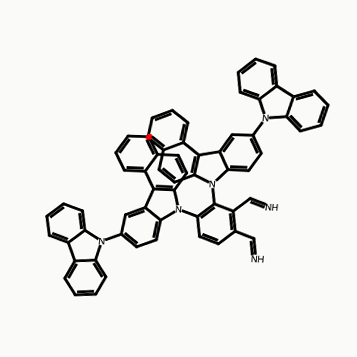 N=Cc1ccc(-n2c3ccc(-n4c5ccccc5c5ccccc54)cc3c3c4ccccc4ccc32)c(-n2c3ccc(-n4c5ccccc5c5ccccc54)cc3c3c4ccccc4ccc32)c1C=N